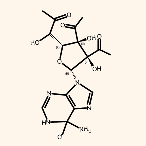 CC(=O)C(O)[C@H]1O[C@@H](n2cnc3c2N=CNC3(N)Cl)[C@@](O)(C(C)=O)[C@@]1(O)C(C)=O